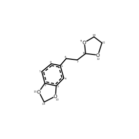 c1cc2c(cc1CCC1OCCO1)OCO2